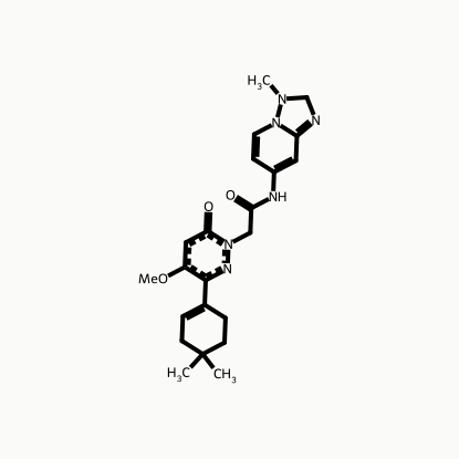 COc1cc(=O)n(CC(=O)NC2=CC3=NCN(C)N3C=C2)nc1C1=CCC(C)(C)CC1